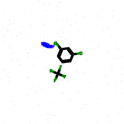 Clc1cccc(Cl)c1.F[B-](F)(F)F.N#[NH+]